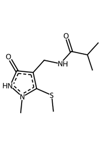 CSc1c(CNC(=O)C(C)C)c(=O)[nH]n1C